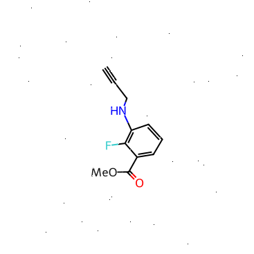 C#CCNc1cccc(C(=O)OC)c1F